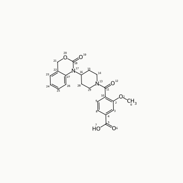 COc1cc(C(=O)O)ccc1C(=O)N1CCC(N2C(=O)OCc3ccccc32)CC1